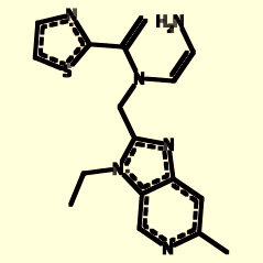 C=C(c1nccs1)N(/C=C\N)Cc1nc2cc(C)ncc2n1CC